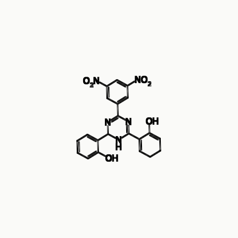 O=[N+]([O-])c1cc(C2=NC(c3ccccc3O)NC(C3=CCCC=C3O)=N2)cc([N+](=O)[O-])c1